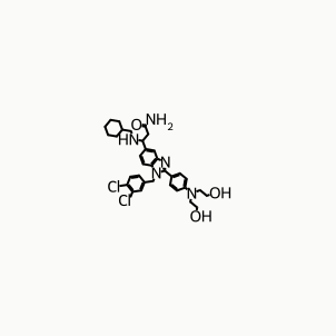 NC(=O)CC(NCC1CCCCC1)c1ccc2c(c1)nc(-c1ccc(N(CCO)CCO)cc1)n2Cc1ccc(Cl)c(Cl)c1